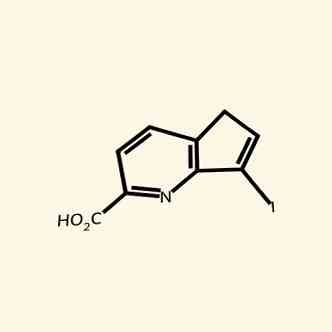 O=C(O)c1ccc2c(n1)C(I)=CC2